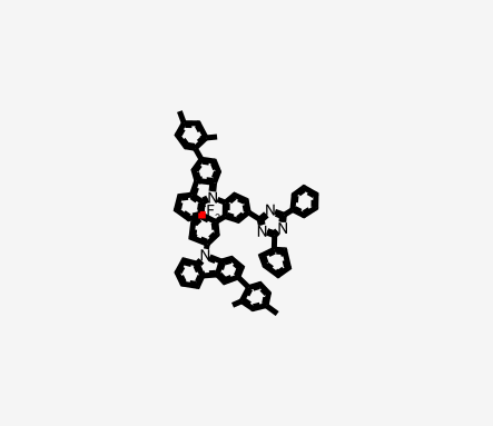 Cc1ccc(-c2ccc3c(c2)c2ccccc2n3-c2ccc(C(F)(F)F)c(-c3cc(-c4nc(-c5ccccc5)nc(-c5ccccc5)n4)ccc3-n3c4ccccc4c4cc(-c5ccc(C)cc5C)ccc43)c2)c(C)c1